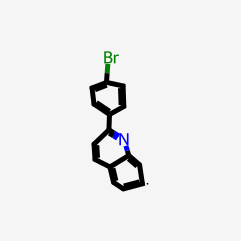 Brc1ccc(-c2ccc3cc[c]cc3n2)cc1